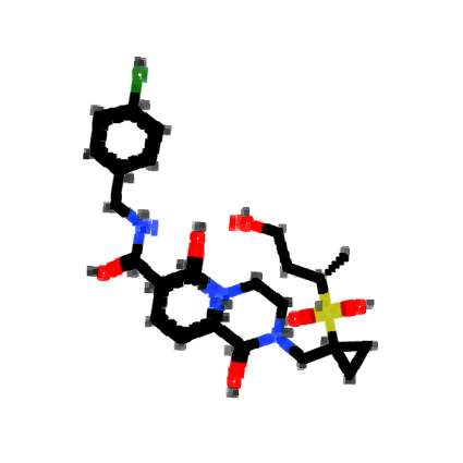 C[C@@H](CCO)S(=O)(=O)C1(CN2CCn3c(ccc(C(=O)NCc4ccc(Cl)cc4)c3=O)C2=O)CC1